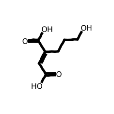 O=C(O)/C=C(\CCCO)C(=O)O